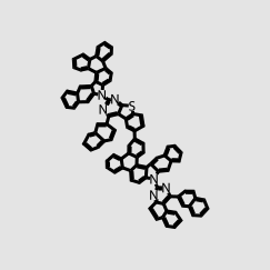 c1ccc2cc(-c3nc(-n4c5cc6ccccc6cc5c5c6c(ccc54)c4ccccc4c4cc(-c5ccc7sc8nc(-n9c%10cc%11ccccc%11cc%10c%10c%11c%12ccccc%12c%12ccccc%12c%11ccc%109)nc(-c9ccc%10ccccc%10c9)c8c7c5)ccc46)nc4ccc5ccccc5c34)ccc2c1